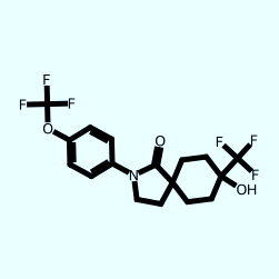 O=C1N(c2ccc(OC(F)(F)F)cc2)CCC12CCC(O)(C(F)(F)F)CC2